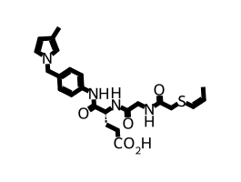 C/C=C\SCC(=O)NCC(=O)N[C@H](CCC(=O)O)C(=O)Nc1ccc(Cn2ccc(C)c2)cc1